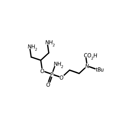 CC(C)(C)N(CCOP(N)(=O)OC(CN)CN)C(=O)O